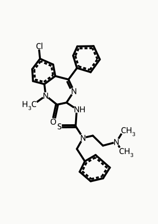 CN(C)CCN(Cc1ccccc1)C(=S)NC1N=C(c2ccccc2)c2cc(Cl)ccc2N(C)C1=O